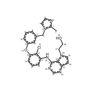 Cc1nccn1Cc1cccc(Oc2cccc(Nc3ncnc4ccn(CCO)c34)c2Cl)c1